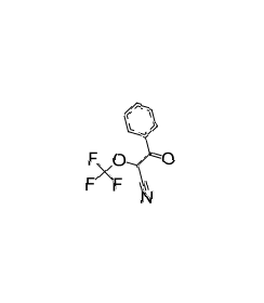 N#CC(OC(F)(F)F)C(=O)c1ccccc1